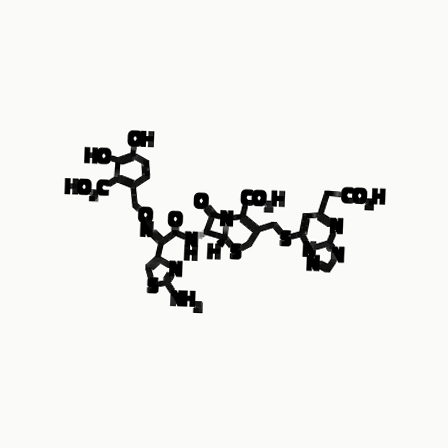 Nc1nc(/C(=N/OCc2ccc(O)c(O)c2C(=O)O)C(=O)N[C@@H]2C(=O)N3C(C(=O)O)=C(CSc4cc(CC(=O)O)nc5ncnn45)CS[C@H]23)cs1